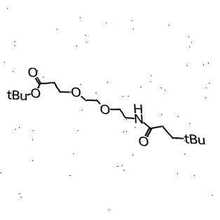 CC(C)(C)CCC(=O)NCCOCCOCCC(=O)OC(C)(C)C